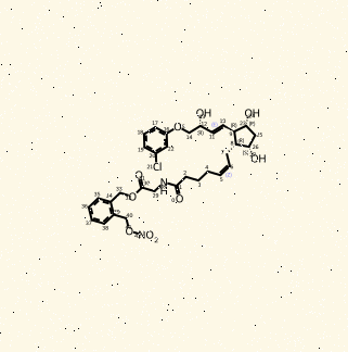 O=C(CCC/C=C\C[C@@H]1[C@@H](/C=C/[C@@H](O)COc2cccc(Cl)c2)[C@H](O)C[C@@H]1O)NCC(=O)OCc1ccccc1CO[N+](=O)[O-]